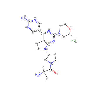 CC(C)(N)C(=O)N1CC[C@@H](N2CCc3c(-c4cnc(N)nc4)nc(N4CCOCC4)nc32)C1.Cl